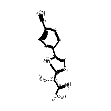 C#Cc1ccc(-c2cnc([C@@H](CC)C(=N)C(=O)O)[nH]2)cc1